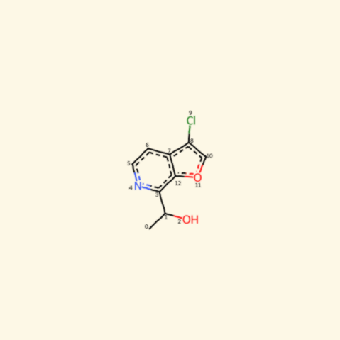 CC(O)c1nccc2c(Cl)coc12